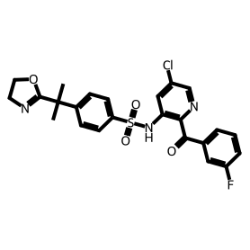 CC(C)(C1=NCCO1)c1ccc(S(=O)(=O)Nc2cc(Cl)cnc2C(=O)c2cccc(F)c2)cc1